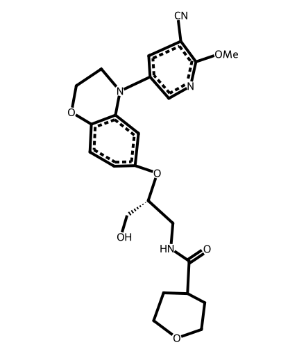 COc1ncc(N2CCOc3ccc(O[C@@H](CO)CNC(=O)C4CCOCC4)cc32)cc1C#N